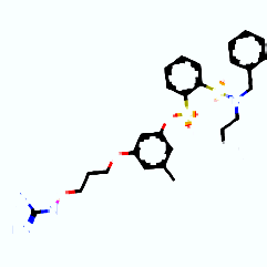 CCOC(=O)CCN(Cc1ccccc1)S(=O)(=O)c1ccccc1S(=O)(=O)Oc1cc(C)cc(OCCCONC(=N)N)c1